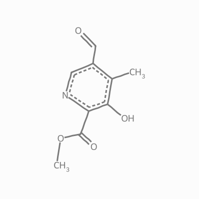 COC(=O)c1ncc(C=O)c(C)c1O